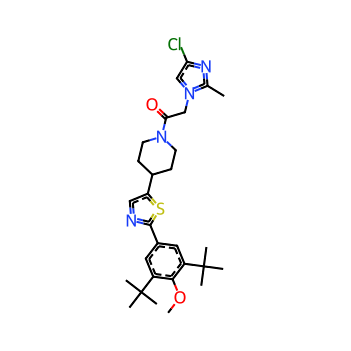 COc1c(C(C)(C)C)cc(-c2ncc(C3CCN(C(=O)Cn4cc(Cl)nc4C)CC3)s2)cc1C(C)(C)C